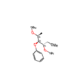 CCCCO[C@@H](C)[C@H](Oc1ccccc1)[C@H](COC)OCCC